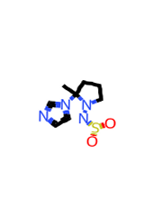 CC1(n2ccnc2)CCCN1N=S(=O)=O